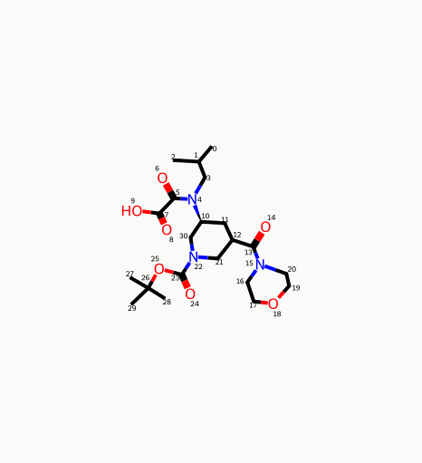 CC(C)CN(C(=O)C(=O)O)[C@H]1CC(C(=O)N2CCOCC2)CN(C(=O)OC(C)(C)C)C1